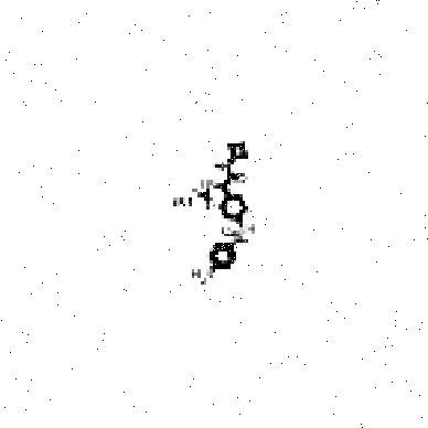 CN(C(=O)C(NC(=O)OC(C)(C)C)C1CCC(NS(=O)(=O)c2ccc(N)cc2)CC1)C1CCC1